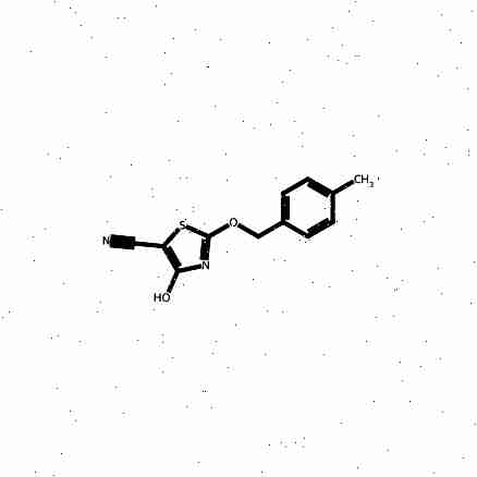 Cc1ccc(COc2nc(O)c(C#N)s2)cc1